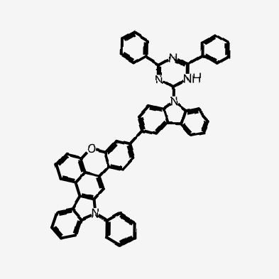 c1ccc(C2=NC(n3c4ccccc4c4cc(-c5ccc6c(c5)Oc5cccc7c5c-6cc5c7c6ccccc6n5-c5ccccc5)ccc43)NC(c3ccccc3)=N2)cc1